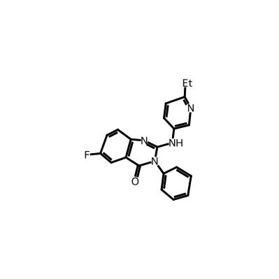 CCc1ccc(Nc2nc3ccc(F)cc3c(=O)n2-c2ccccc2)cn1